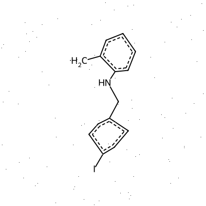 [CH2]c1ccccc1NCc1ccc(I)cc1